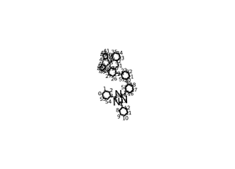 c1ccc(-c2nc(-c3ccccc3)nc(-c3cccc(-c4cccc(-c5cccc6c5Cc5ccccc5C65c6ccccc6-c6ccccc65)c4)c3)n2)cc1